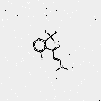 CN(C)/C=C/C(=O)c1c(F)cccc1C(F)(F)F